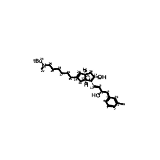 Cc1cccc(C[C@@H](O)/C=C/[C@@H]2[C@H]3CC(CCCCCCN(C)C(C)(C)C)=C[C@H]3C[C@H]2O)c1